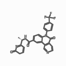 C[C@H](NC(=O)c1ccc2c(c1)c1cnccc1c(=O)n2-c1ccc(C(F)(F)F)cc1)C1=NC(=O)CC=C1